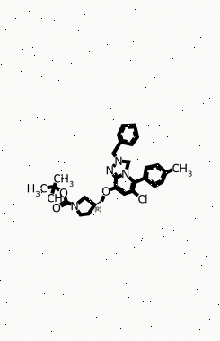 Cc1ccc(C2=C(Cl)C=C(OC[C@@H]3CCN(C(=O)OC(C)(C)C)C3)C3=NN(Cc4ccccc4)CN32)cc1